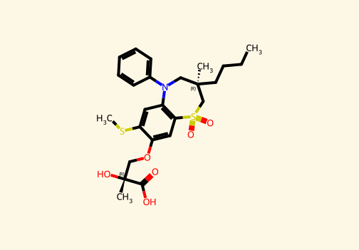 CCCC[C@]1(C)CN(c2ccccc2)c2cc(SC)c(OC[C@@](C)(O)C(=O)O)cc2S(=O)(=O)C1